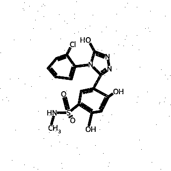 CNS(=O)(=O)c1cc(-c2nnc(O)n2-c2ccccc2Cl)c(O)cc1O